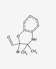 CC1(C)Nc2ccccc2OC1(Br)C=O